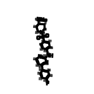 CNC1CCN(S(=O)(=O)c2ccc(Nc3nccc(-c4ccc(F)cc4)n3)cc2)CC1